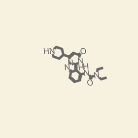 CCN(CC)C(=O)Nc1cccc2nn3c(C4CCNCC4)cc(=O)[nH]c3c12